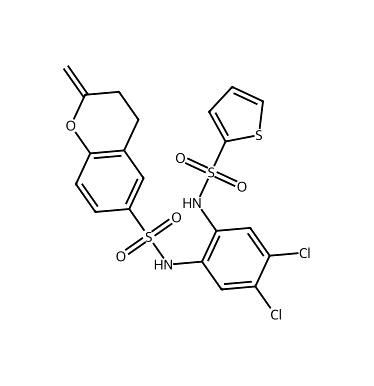 C=C1CCc2cc(S(=O)(=O)Nc3cc(Cl)c(Cl)cc3NS(=O)(=O)c3cccs3)ccc2O1